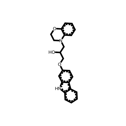 OC(COc1ccc2c(c1)[nH]c1ccccc12)CN1CCOc2ccccc21